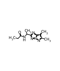 C=c1c(C)nn2nc(C(C)NC(=O)CC)nc12